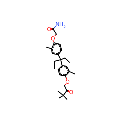 CCC(CC)(c1ccc(OCC(N)=O)c(C)c1)c1ccc(OCC(=O)C(C)(C)C)c(C)c1